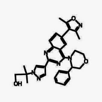 Cc1noc(C)c1-c1ccc2nc(-c3cnn(C(C)(C)CO)c3)nc(N3CCOCC3c3ccccc3)c2c1